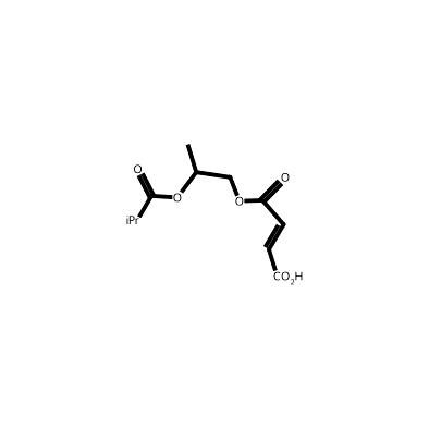 CC(COC(=O)C=CC(=O)O)OC(=O)C(C)C